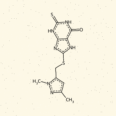 Cc1cc(CSc2nc3[nH]c(=S)[nH]c(=O)c3[nH]2)n(C)n1